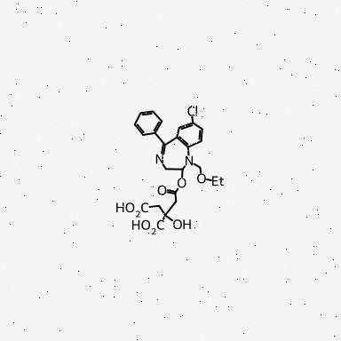 CCOCN1c2ccc(Cl)cc2C(c2ccccc2)=NCC1OC(=O)CC(O)(CC(=O)O)C(=O)O